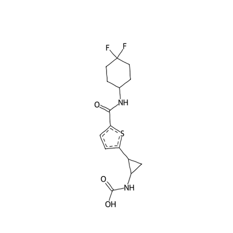 O=C(O)NC1CC1c1ccc(C(=O)NC2CCC(F)(F)CC2)s1